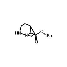 CC(C)(C)OC(=O)C1C2CCNN1CC2